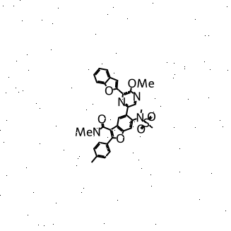 CNC(=O)c1c(-c2ccc(C)cc2)oc2cc(N(C)S(C)(=O)=O)c(-c3cnc(OC)c(-c4cc5ccccc5o4)n3)cc12